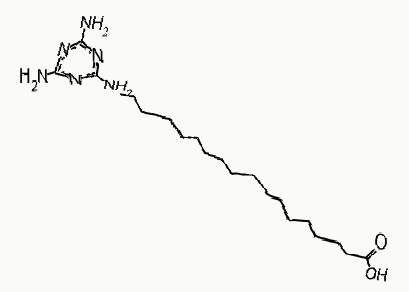 CCCCCCCCCCCCCCCCCC(=O)O.Nc1nc(N)nc(N)n1